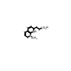 CN1CC=CC2=C1NC(CCC(=O)O)C=C2